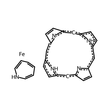 C1=CC=CNC=C1.C1=Cc2cc3ccc(cc4nc(cc5ccc(cc1n2)[nH]5)C=C4)[nH]3.[Fe]